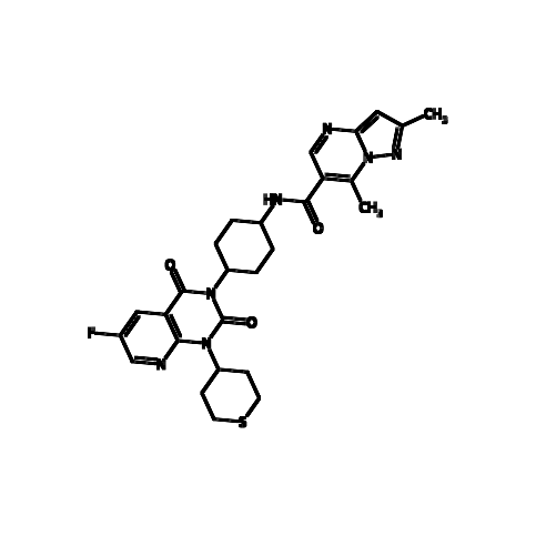 Cc1cc2ncc(C(=O)NC3CCC(n4c(=O)c5cc(F)cnc5n(C5CCSCC5)c4=O)CC3)c(C)n2n1